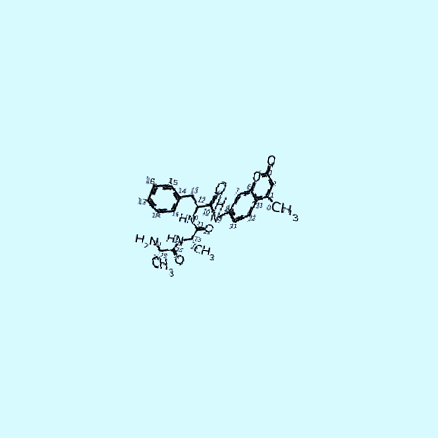 Cc1cc(=O)oc2cc(NC(=O)[C@H](Cc3ccccc3)NC(=O)[C@H](C)NC(=O)[C@H](C)N)ccc12